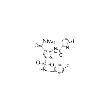 CNC(=O)c1cc(S(=O)(=O)N(C)Cc2ccc(F)cc2)sc1NC(=O)c1cc[nH]n1